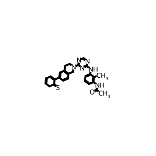 CC(=O)Nc1cccc(Nc2ncnc(N3CCc4cc(C5=CC=CCC5=S)ccc4C3)n2)c1C